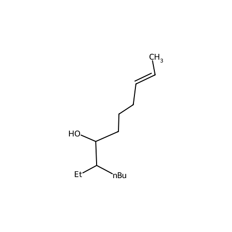 C/C=C/CCCC(O)C(CC)CCCC